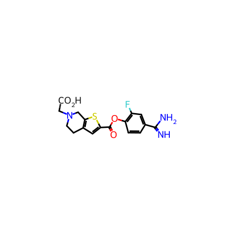 N=C(N)c1ccc(OC(=O)c2cc3c(s2)CN(CC(=O)O)CC3)c(F)c1